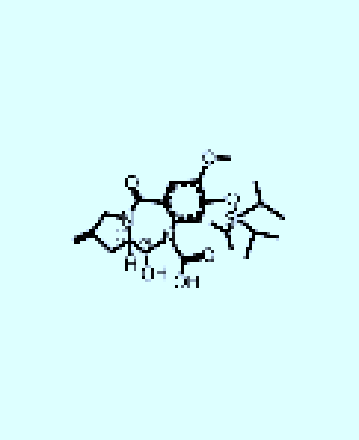 C=C1C[C@H]2[C@H](O)N(C(=O)O)c3cc(O[Si](C(C)C)(C(C)C)C(C)C)c(OC)cc3C(=O)N2C1